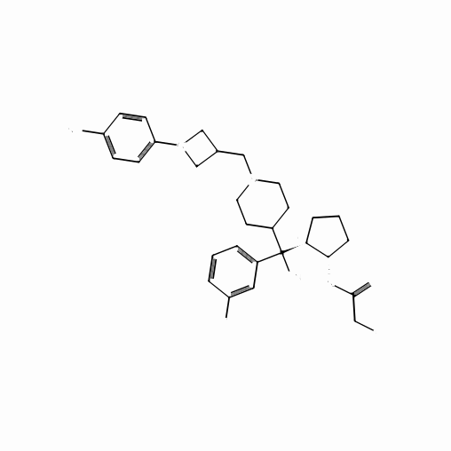 N#Cc1ccc(N2CC(CN3CCC(C(C#N)(c4cccc(F)c4)[C@H]4CCC[C@@H]4NC(=O)CCl)CC3)C2)cc1